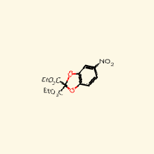 CCOC(=O)C1(C(=O)OCC)Oc2ccc([N+](=O)[O-])cc2O1